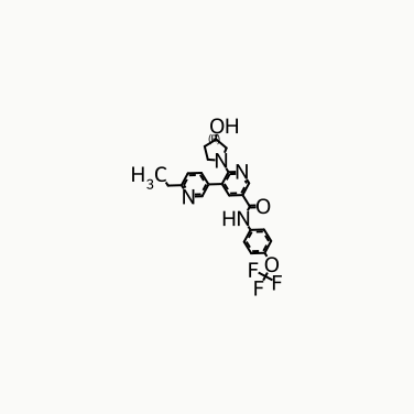 CCc1ccc(-c2cc(C(=O)Nc3ccc(OC(F)(F)F)cc3)cnc2N2CC[C@@H](O)C2)cn1